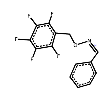 Fc1c(F)c(F)c(CO/N=[C]\c2ccccc2)c(F)c1F